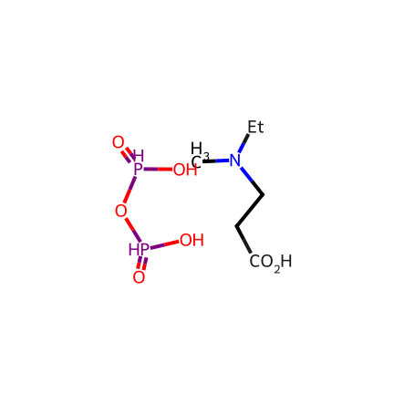 CCN(C)CCC(=O)O.O=[PH](O)O[PH](=O)O